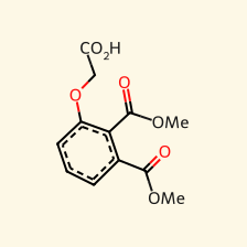 COC(=O)c1cccc(OCC(=O)O)c1C(=O)OC